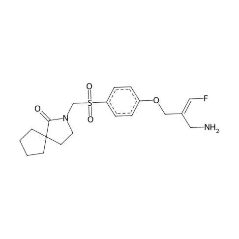 NCC(=CF)COc1ccc(S(=O)(=O)CN2CCC3(CCCC3)C2=O)cc1